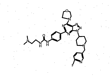 CN(C)CCNC(=O)Nc1ccc(-c2nc(N3CCOCC3)c3nnn(C4CCN(Cc5ccc(F)nc5)CC4)c3n2)cc1